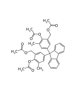 CC(=O)OCc1cc(C2(c3cc(C)c(OC(C)=O)c(COC(C)=O)c3)c3ccccc3-c3ccccc32)cc(C)c1OC(C)=O